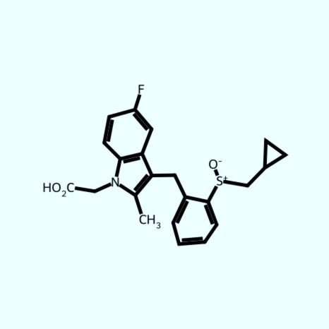 Cc1c(Cc2ccccc2[S+]([O-])CC2CC2)c2cc(F)ccc2n1CC(=O)O